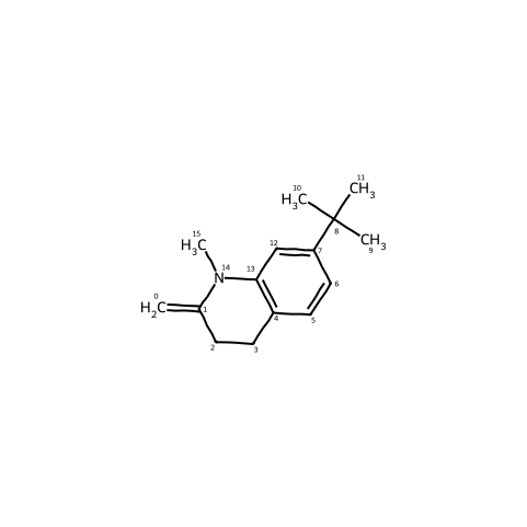 C=C1CCc2ccc(C(C)(C)C)cc2N1C